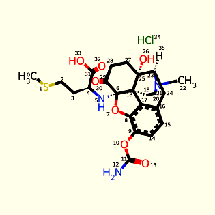 CSCC[C@H](N[C@@]12Oc3c(OC(N)=O)ccc4c3[C@@]13CCN(C)[C@H](C4)[C@]3(O)CCC2=O)C(=O)O.Cl